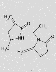 C=C1CC(C)NC1=O.C=C1CCC(=O)N1CC